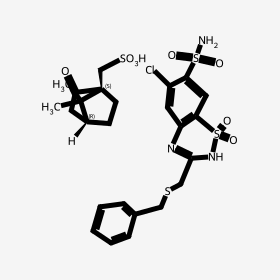 CC1(C)[C@@H]2CC[C@@]1(CS(=O)(=O)O)C(=O)C2.NS(=O)(=O)c1cc2c(cc1Cl)N=C(CSCc1ccccc1)NS2(=O)=O